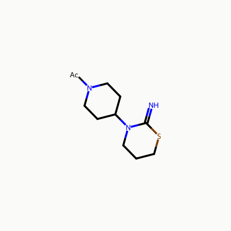 CC(=O)N1CCC(N2CCCSC2=N)CC1